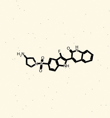 NC1CCN(S(=O)(=O)c2ccc3[nH]c(-c4cc5ccccc5[nH]c4=O)c(F)c3c2)C1